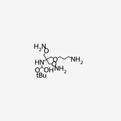 CC(C)(C)OC(O)NC(CON)(CON)COCCCN